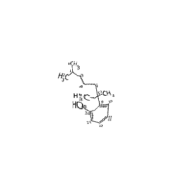 CC(C)CCCC(C)(C)c1ccccc1O